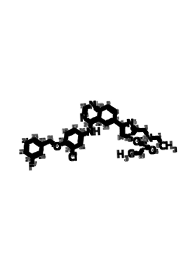 CCN(Cc1nc(-c2ccc3ncnc(Nc4ccc(OCc5cccc(F)c5)c(Cl)c4)c3c2)cs1)S(=O)(=O)CC